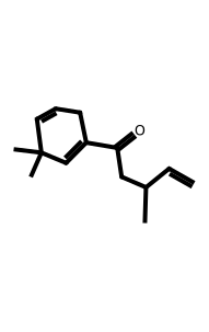 C=CC(C)CC(=O)C1=CC(C)(C)C=CC1